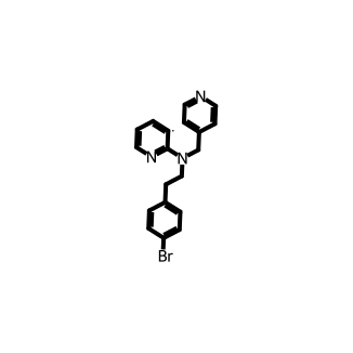 Brc1ccc(CCN(Cc2ccncc2)c2[c]cccn2)cc1